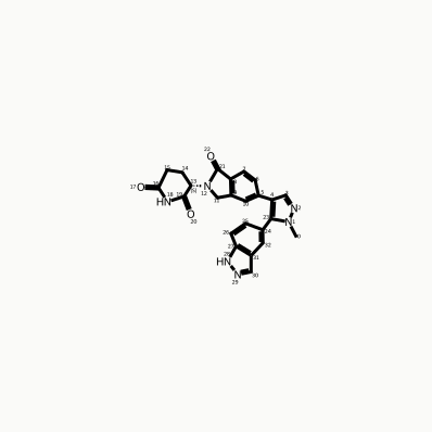 Cn1ncc(-c2ccc3c(c2)CN([C@H]2CCC(=O)NC2=O)C3=O)c1-c1ccc2[nH]ncc2c1